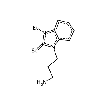 CCn1c(=[Se])n(CCCN)c2ccccc21